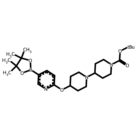 CC(C)(C)OC(=O)N1CCC(N2CCC(Oc3ccc(B4OC(C)(C)C(C)(C)O4)cn3)CC2)CC1